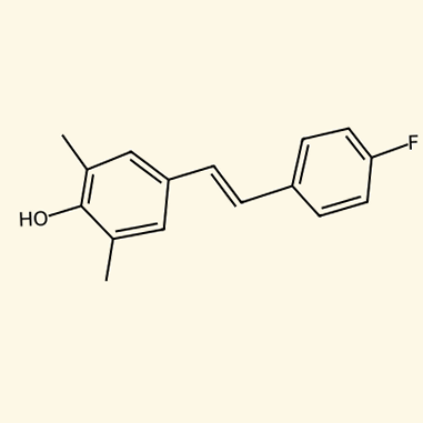 Cc1cc(C=Cc2ccc(F)cc2)cc(C)c1O